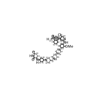 COc1cc(N2CCN(C3CCN(CC4CCN(c5ccc(NC6CCC(=O)NC6=O)cc5)CC4)CC3)CC2)ccc1Nc1ncc(Cl)c(Nc2ccccc2P(C)(C)=O)n1